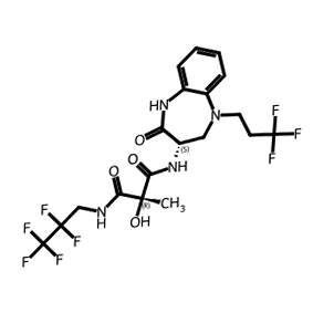 C[C@@](O)(C(=O)NCC(F)(F)C(F)(F)F)C(=O)N[C@H]1CN(CCC(F)(F)F)c2ccccc2NC1=O